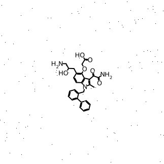 Cc1c(C(=O)C(N)=O)c2c(OCC(=O)O)c(CC(O)CN)ccc2n1Cc1ccccc1-c1ccccc1